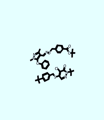 CC(C)(C)c1ccc(CSc2cnn(C(C)(C)C)c(=O)c2Cl)cc1.Cc1nn(C)c(Oc2ccccc2)c1/C=N/OCc1ccc(C(=O)OC(C)(C)C)cc1